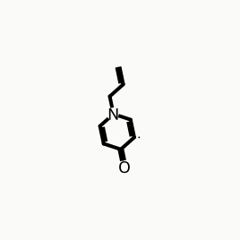 C=CCn1c[c]c(=O)cc1